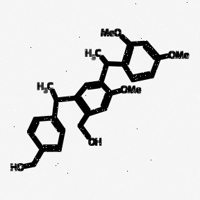 COc1ccc(C(C)c2cc(C(C)c3ccc(CO)cc3)c(CO)cc2OC)c(OC)c1